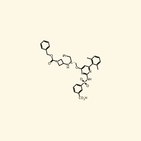 Cc1cccc(C)c1-c1cc(OC[C@@H](CC(C)C)NC2CN(C(=O)OCc3ccccc3)C2)nc(NS(=O)(=O)c2cccc(C(=O)O)c2)n1